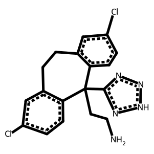 NCCC1(c2nn[nH]n2)c2ccc(Cl)cc2CCc2cc(Cl)ccc21